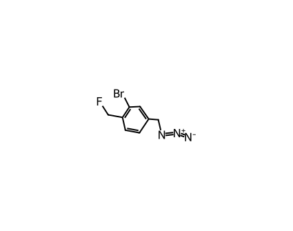 [N-]=[N+]=NCc1ccc(CF)c(Br)c1